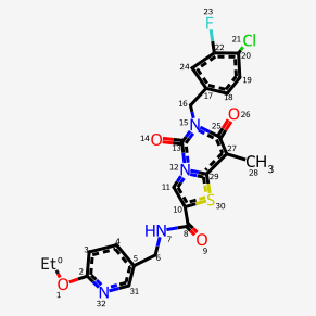 CCOc1ccc(CNC(=O)c2cn3c(=O)n(Cc4ccc(Cl)c(F)c4)c(=O)c(C)c3s2)cn1